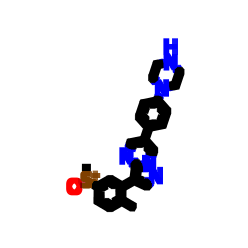 Cc1ccc([S+](C)[O-])cc1-c1cnn2cc(-c3ccc(N4CCNCC4)cc3)cnc12